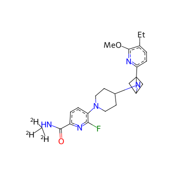 [2H]C([2H])([2H])NC(=O)c1ccc(N2CCC(N3CC4(c5ccc(CC)c(OC)n5)CC3C4)CC2)c(F)n1